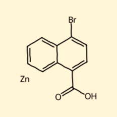 O=C(O)c1ccc(Br)c2ccccc12.[Zn]